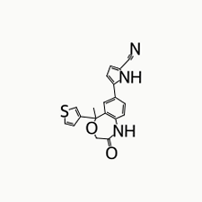 CC1(c2ccsc2)OCC(=O)Nc2ccc(-c3ccc(C#N)[nH]3)cc21